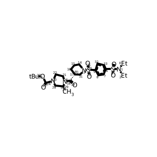 CCN(CC)S(=O)(=O)c1ccc(S(=O)(=O)N2CCC[C@@H](C(=O)N3CCN(C(=O)OC(C)(C)C)C[C@H]3C)C2)cc1